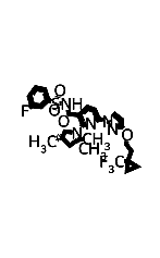 C[C@@H]1CN(c2nc(-n3ccc(OCCC4(C(F)(F)F)CC4)n3)ccc2C(=O)NS(=O)(=O)c2cccc(F)c2)C(C)(C)C1